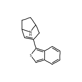 C1=C(c2scc3ccccc23)CC2CCC1N2